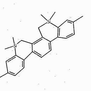 Cc1ccc2c(c1)[Si](C)(C)Cc1c-2ccc2c1C[Si](C)(C)c1cc(C)ccc1-2